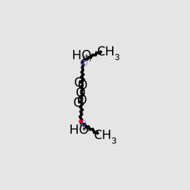 CCCCCC[C@@H](O)C/C=C\CCCCCCCC(=O)OCCOCCOC(=O)CCCCCCC/C=C\C[C@H](O)CCCCCC